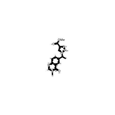 COC(=O)c1cn(C(C)c2ccc3ncn(C)c(=O)c3c2)nn1